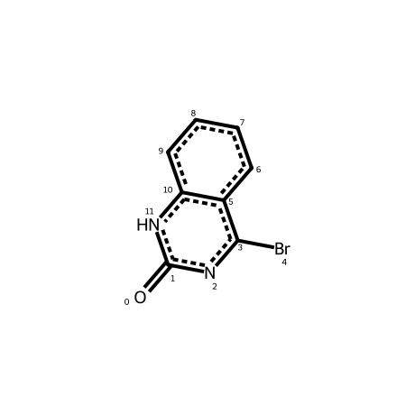 O=c1nc(Br)c2ccccc2[nH]1